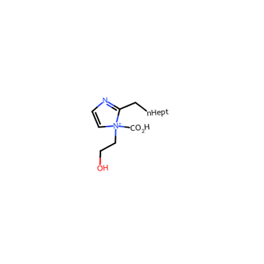 CCCCCCCCC1=NC=C[N+]1(CCO)C(=O)O